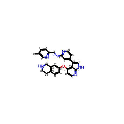 Cc1ccc(CNc2cc(-c3c[nH]c4nccc(Oc5ccc6c(c5)CNCC6)c34)ccn2)nc1